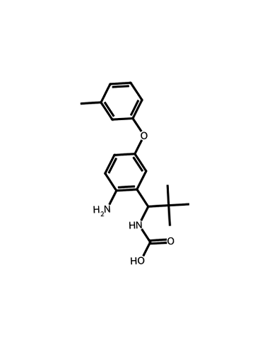 Cc1cccc(Oc2ccc(N)c(C(NC(=O)O)C(C)(C)C)c2)c1